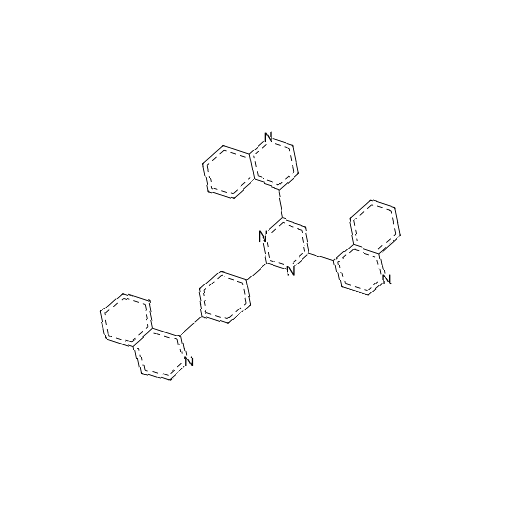 c1ccc2c(-c3ccc(-c4nc(-c5ccnc6ccccc56)cc(-c5ccnc6ccccc56)n4)cc3)nccc2c1